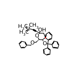 C[Si](C)(C)C#CC1(O)CC[C@@H](OC(c2ccccc2)(c2ccccc2)c2ccccc2)[C@@H](COCc2ccccc2)O1